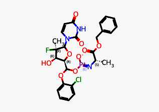 C[C@H](/N=[P+](\[O-])OC(Oc1ccccc1Cl)[C@@H]1OC(n2ccc(=O)[nH]c2=O)[C@](C)(F)[C@@H]1O)C(=O)OCc1ccccc1